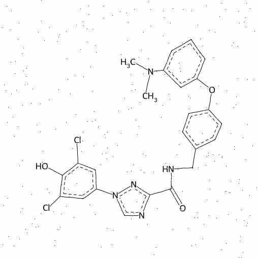 CN(C)c1cccc(Oc2ccc(CNC(=O)c3ncn(-c4cc(Cl)c(O)c(Cl)c4)n3)cc2)c1